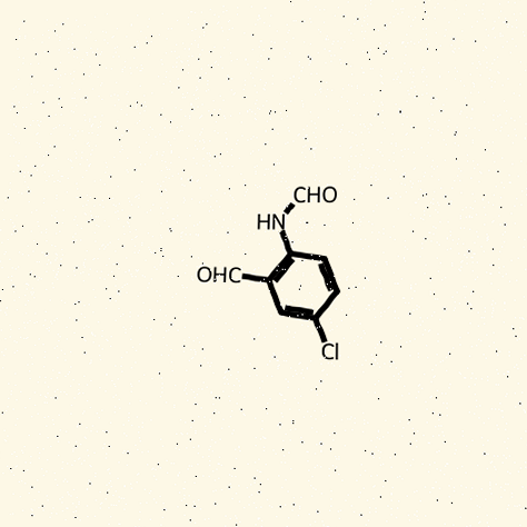 O=CNc1ccc(Cl)cc1C=O